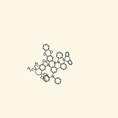 Cc1cc2c(cc1N1c3cc4c(cc3B3c5c(cc(N(c6ccccc6)c6ccccc6)cc51)-c1cccc5c1N3c1ccccc1[Si]51c3ccccc3-c3ccccc31)Oc1ccccc1O4)C(C)(C)CCC2(C)C